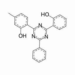 Cc1ccc(-c2nc(-c3ccccc3)nc(-c3ccccc3O)n2)c(O)c1